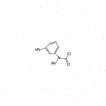 CCCc1cccc(N(C(=O)Cl)C(C)C)c1